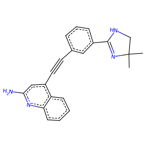 CC1(C)CNC(c2cccc(C#Cc3cc(N)nc4ccccc34)c2)=N1